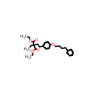 CCOC(=O)C(CC)(CCc1ccc(OCCCCc2ccccc2)cc1)C(=O)OCC